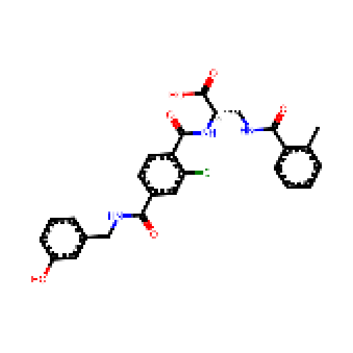 Cc1ccccc1C(=O)NC[C@H](NC(=O)c1ccc(C(=O)NCc2cccc(O)c2)cc1Cl)C(=O)O